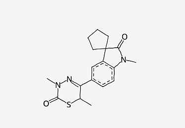 CC1SC(=O)N(C)N=C1c1ccc2c(c1)C1(CCCC1)C(=O)N2C